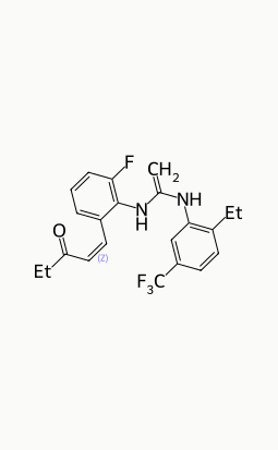 C=C(Nc1cc(C(F)(F)F)ccc1CC)Nc1c(F)cccc1/C=C\C(=O)CC